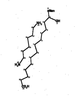 CCCCCCCCCC(O)CCCCCCCCCCCC(=O)O.NCCCCCCN